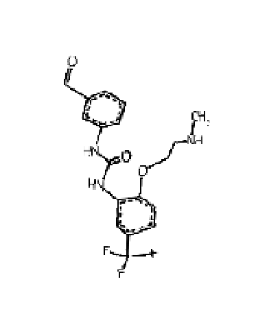 CNCCOc1ccc(C(F)(F)F)cc1NC(=O)Nc1cccc(C=O)c1